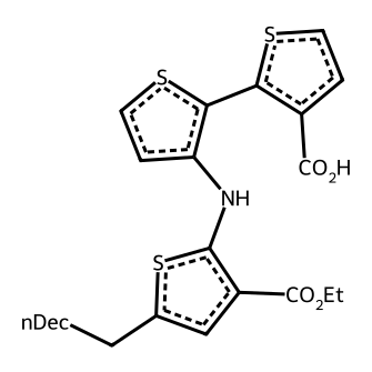 CCCCCCCCCCCc1cc(C(=O)OCC)c(Nc2ccsc2-c2sccc2C(=O)O)s1